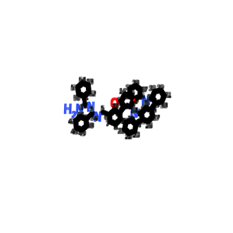 N/C(=N\C(=N/Cc1cccc2c1oc1cccc(-n3c4ccccc4c4ccc5c6ccccc6n(-c6ccccc6)c5c43)c12)c1ccccc1)c1ccccc1